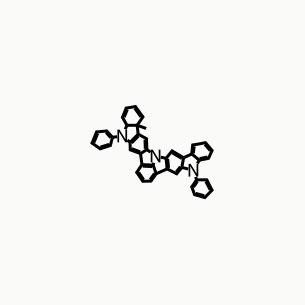 CC12C=CC=CC1N(c1ccccc1)c1cc3c4cccc5c6cc7c(cc6n(c3cc12)c45)c1ccccc1n7-c1ccccc1